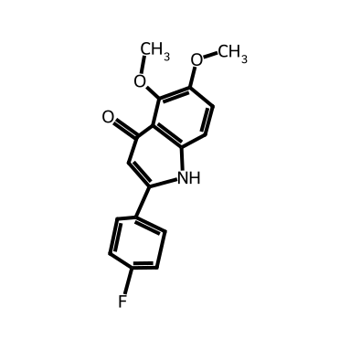 COc1ccc2[nH]c(-c3ccc(F)cc3)cc(=O)c2c1OC